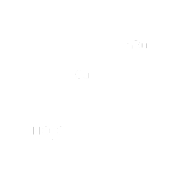 CCCCCC=CC(=O)O.[Cu]